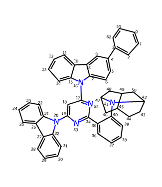 c1ccc(-c2ccc3c(c2)c2ccccc2n3-c2cc(-n3c4ccccc4c4ccccc43)nc(-c3ccccc3N3C4CCC5CC3CC5C4)n2)cc1